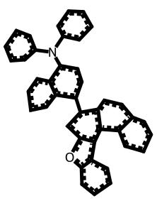 c1ccc(N(c2ccccc2)c2ccc(-c3cc4oc5ccccc5c4c4c3ccc3ccccc34)c3ccccc23)cc1